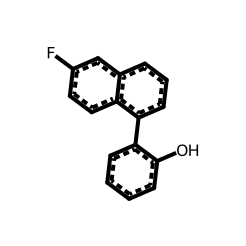 Oc1ccccc1-c1cccc2cc(F)ccc12